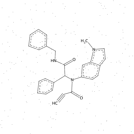 C#CC(=O)N(c1ccc2ccn(C)c2c1)C(C(=O)NCc1ccccc1)c1ccccc1